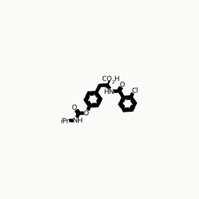 CC(C)NC(=O)Oc1ccc(C[C@H](NC(=O)c2ccccc2Cl)C(=O)O)cc1